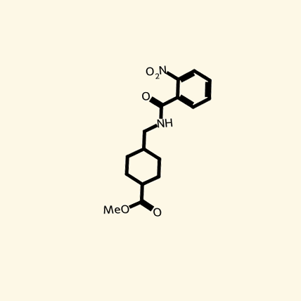 COC(=O)C1CCC(CNC(=O)c2ccccc2[N+](=O)[O-])CC1